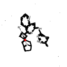 Cc1cc(Nc2cc3ncccc3c(NC3CC4CCC(C3)N4[C@H]3C[C@@H](C#N)C3)n2)n[nH]1